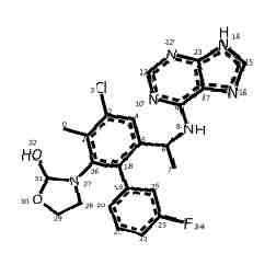 Cc1c(Cl)cc(C(C)Nc2ncnc3[nH]cnc23)c(-c2cccc(F)c2)c1N1CCOC1O